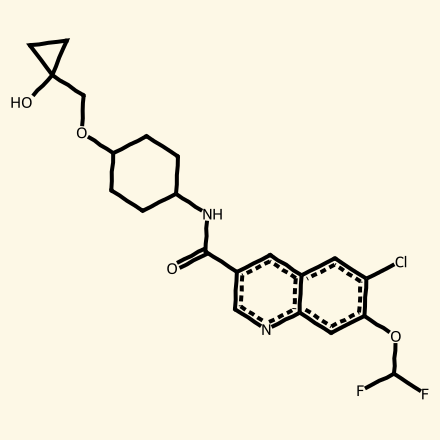 O=C(NC1CCC(OCC2(O)CC2)CC1)c1cnc2cc(OC(F)F)c(Cl)cc2c1